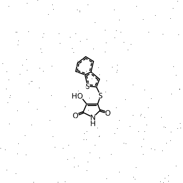 O=C1NC(=O)C(Sc2cc3ccccc3s2)=C1O